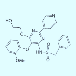 COc1ccccc1Oc1c(NS(=O)(=O)Cc2ccccc2)nc(-c2ccncc2)nc1OCCO